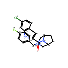 Nc1cc(Cl)ccc1/C=C/C(=O)N1C2CCC1CN(Cc1ccc(F)cc1)C2